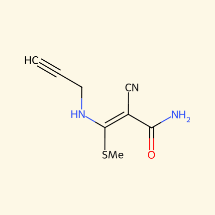 C#CCNC(SC)=C(C#N)C(N)=O